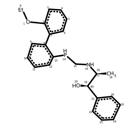 CCOc1ccccc1-c1ccccc1PCN[C@@H](C)[C@H](O)c1ccccc1